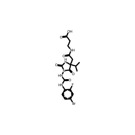 CC(C)C1(CC(=O)NCCC(=O)O)NC(=O)N(NC(=O)Nc2ccc(Br)cc2F)C1=O